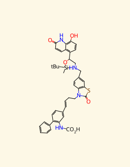 CC(C)(C)[Si](C)(C)OC(CNCc1ccc2c(c1)sc(=O)n2CC/C=C/c1ccc(-c2ccccc2)c(NC(=O)O)c1)c1ccc(O)c2[nH]c(=O)ccc12